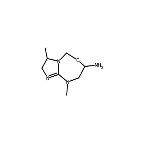 CC1CN=C2N(C)CC(N)CCN21